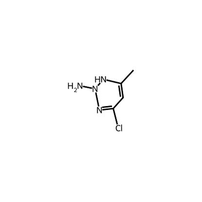 CC1=CC(Cl)=NN(N)N1